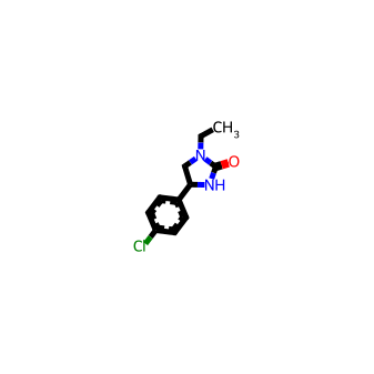 CCN1CC(c2ccc(Cl)cc2)NC1=O